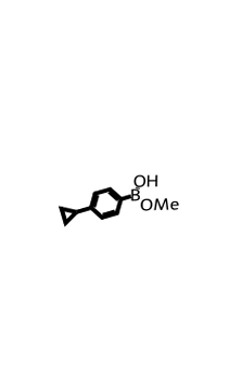 COB(O)c1ccc(C2CC2)cc1